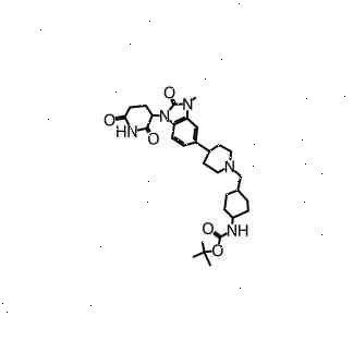 Cn1c(=O)n(C2CCC(=O)NC2=O)c2ccc(C3CCN(CC4CCC(NC(=O)OC(C)(C)C)CC4)CC3)cc21